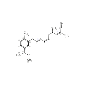 C=C(/C=C(/C)C#N)C/C=C\C=C\Cc1cc(C(C)CC)ccc1C